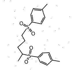 Cc1ccc(S(=O)(=O)CCCC(C)S(=O)(=O)c2ccc(C)cc2)cc1